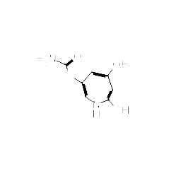 CC1=CC(O)=CC(OC(N)=O)=CN1